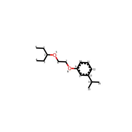 CCC(CC)OCCOc1cccc(C(C)C)c1